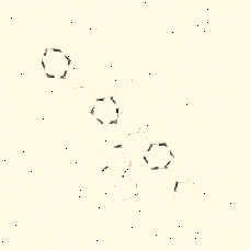 COc1cc(C(Nc2ccc(C(=N)N)cc2)C(=O)NC2(C(=O)OC(C)=O)CCCC2)ccc1OCc1ccccc1